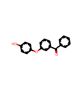 O=C(c1ccccc1)c1cccc(Oc2ccc(O)cc2)c1